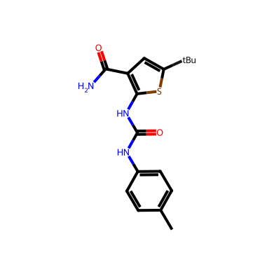 Cc1ccc(NC(=O)Nc2sc(C(C)(C)C)cc2C(N)=O)cc1